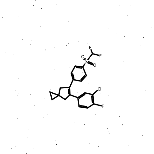 O=S(=O)(c1ccc(C2=C(c3ccc(F)c(Cl)c3)CC3(CC3)C2)cc1)C(F)F